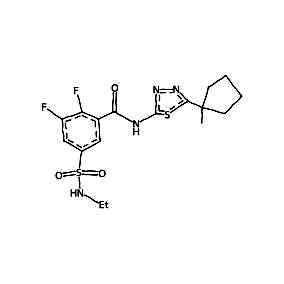 CCNS(=O)(=O)c1cc(F)c(F)c(C(=O)Nc2nnc(C3(C)CCCC3)s2)c1